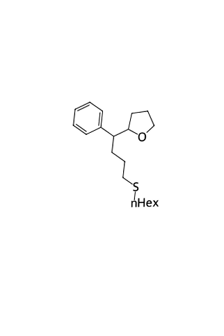 CCCCCCSCCCC(c1ccccc1)C1CCCO1